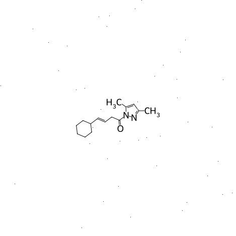 Cc1cc(C)n(C(=O)C/C=C/C2CCCCC2)n1